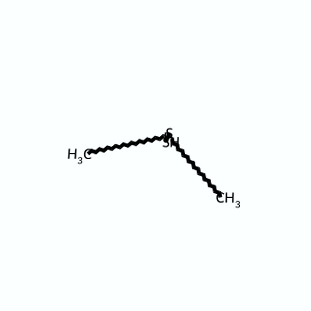 CCCCCCCCCCCCCCCCCCCCP(=S)(S)CCCCCCCCCCCCCCCCCCCC